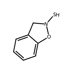 SN1Cc2ccccc2O1